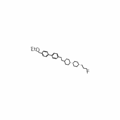 CCOCc1ccc(-c2ccc(CCC3CCC([C@H]4CC[C@H](CCCF)CC4)CC3)cc2)cc1